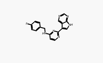 Fc1ccc(CNc2ccnc(-c3c[nH]c4ncncc34)n2)cc1